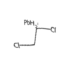 ClCCCl.[PbH2]